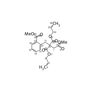 C=CCOC(=O)C(CC(=O)OC)(Cc1ccccc1C(=O)OC)C(=O)OCC=C